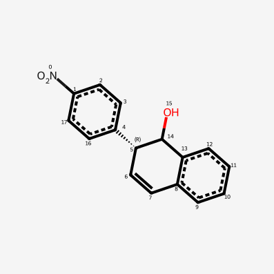 O=[N+]([O-])c1ccc([C@H]2C=Cc3ccccc3C2O)cc1